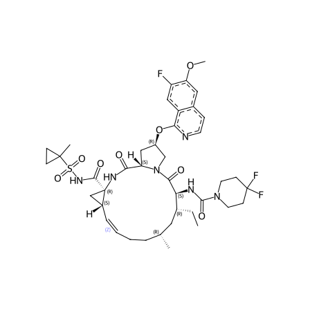 CC[C@@H]1C[C@H](C)CC/C=C\[C@@H]2C[C@@]2(C(=O)NS(=O)(=O)C2(C)CC2)NC(=O)[C@@H]2C[C@@H](Oc3nccc4cc(OC)c(F)cc34)CN2C(=O)[C@H]1NC(=O)N1CCC(F)(F)CC1